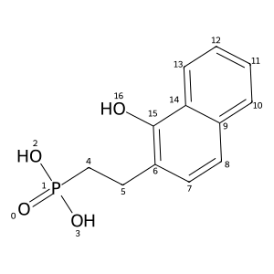 O=P(O)(O)CCc1ccc2ccccc2c1O